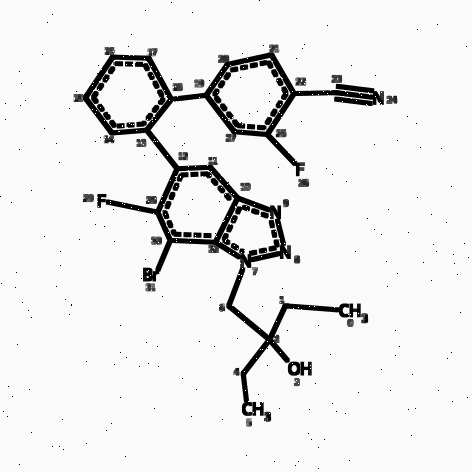 CCC(O)(CC)Cn1nnc2cc(-c3ccccc3-c3ccc(C#N)c(F)c3)c(F)c(Br)c21